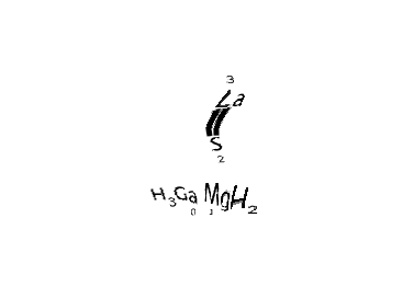 [GaH3].[MgH2].[S]=[La]